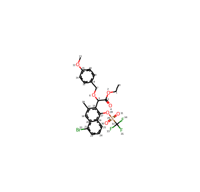 CCOC(=O)C(OCc1ccc(OC)cc1)c1c(C)cc2c(Br)cccc2c1OS(=O)(=O)C(F)(F)F